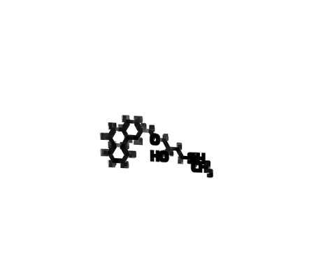 C[SiH2]CCC(O)COCc1ccc2ccc3ccccc3c2c1